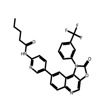 CCCCC(=O)Nc1ccc(-c2ccc3ncc4oc(=O)n(-c5cccc(C(F)(F)F)c5)c4c3c2)cn1